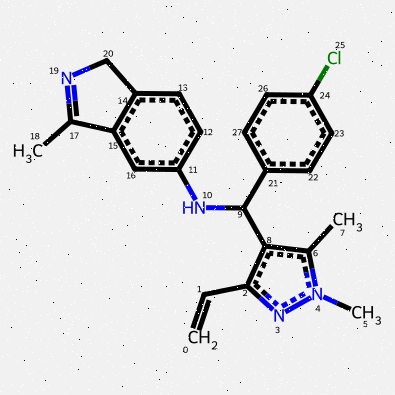 C=Cc1nn(C)c(C)c1C(Nc1ccc2c(c1)C(C)=NC2)c1ccc(Cl)cc1